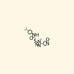 CCn1c(SCC(=O)Nc2ccc(C(C)C)cc2)nnc1-c1ccnc(OC)c1